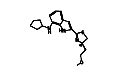 COCC[C@@H]1CSC(c2cc3cccc(NC4CCCC4)c3[nH]2)=N1